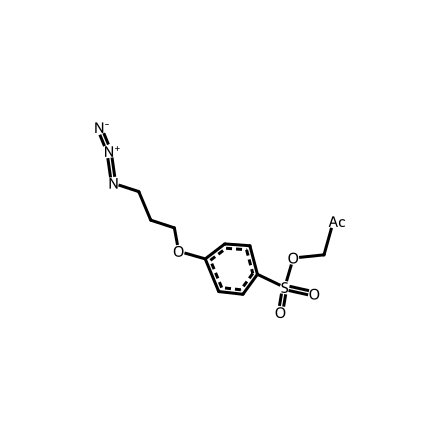 CC(=O)COS(=O)(=O)c1ccc(OCCCN=[N+]=[N-])cc1